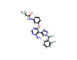 C=CC(=O)Nc1cccc(Oc2ncnc(N)c2-c2cnn(C(F)c3ccccc3F)c2)c1